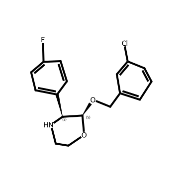 Fc1ccc([C@@H]2NCCO[C@@H]2OCc2cccc(Cl)c2)cc1